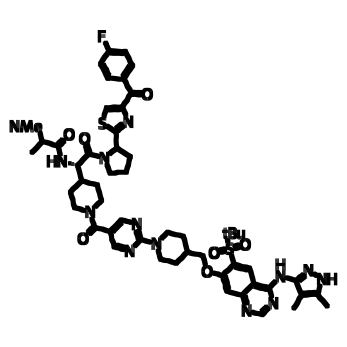 CNC(C)C(=O)N[C@H](C(=O)N1CCCC1c1nc(C(=O)c2ccc(F)cc2)cs1)C1CCN(C(=O)c2cnc(N3CCC(COc4cc5ncnc(Nc6n[nH]c(C)c6C)c5cc4S(=O)(=O)C(C)(C)C)CC3)nc2)CC1